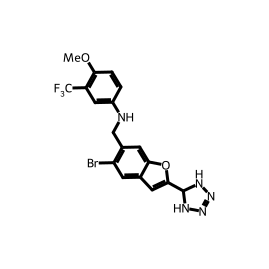 COc1ccc(NCc2cc3oc(C4NN=NN4)cc3cc2Br)cc1C(F)(F)F